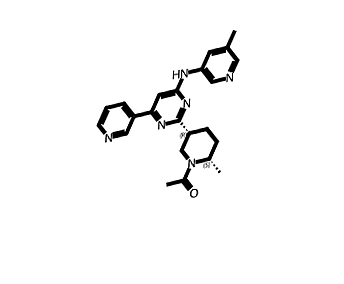 CC(=O)N1C[C@H](c2nc(Nc3cncc(C)c3)cc(-c3cccnc3)n2)CC[C@@H]1C